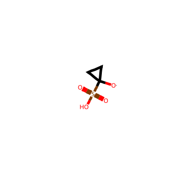 [O]C1(S(=O)(=O)O)CC1